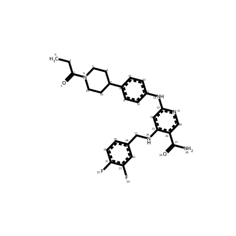 CCC(=O)N1CCC(c2ccc(Nc3cc(NCc4ccc(F)c(F)c4)c(C(N)=O)cn3)cc2)CC1